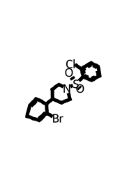 O=S(=O)(c1ccccc1Cl)N1CCC(C2C=CCC=C2Br)CC1